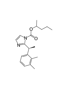 CCCC(C)OC(=O)n1ccnc1[C@@H](C)c1cccc(C)c1C